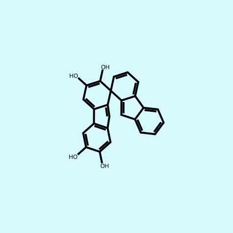 OC1=C(O)C2(C=CC=C3C2=Cc2ccccc23)C2=Cc3cc(O)c(O)cc3C2=C1